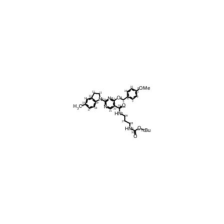 COc1ccc(COc2nc(N3CCc4cc(C)ccc43)ncc2C(=O)NCCCNC(=O)OC(C)(C)C)cc1